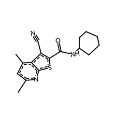 Cc1cc(C)c2c(C#N)c(C(=O)NC3CCCCC3)sc2n1